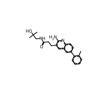 Cc1ccccc1-c1ccc2nc(N)c(CCC(=O)NCC(C)(C)O)cc2c1